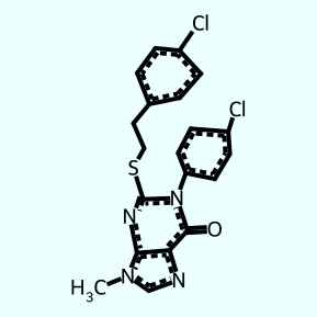 Cn1cnc2c(=O)n(-c3ccc(Cl)cc3)c(SCCc3ccc(Cl)cc3)nc21